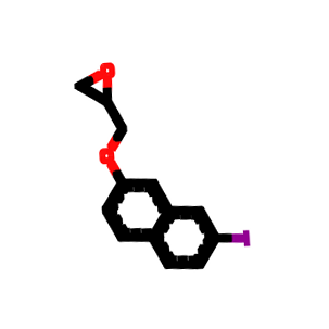 Ic1ccc2ccc(OCC3CO3)cc2c1